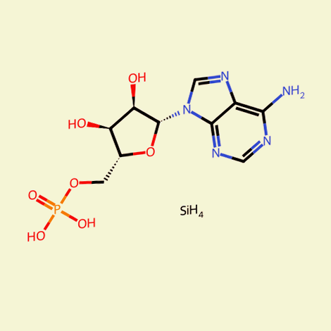 Nc1ncnc2c1ncn2[C@@H]1O[C@H](COP(=O)(O)O)[C@@H](O)[C@H]1O.[SiH4]